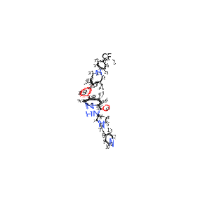 O=C(N[C@@H]1CCN(Cc2ccncc2)C1)c1ccc(OC2CCN(c3ccc(C(F)(F)F)cc3)CC2)cn1